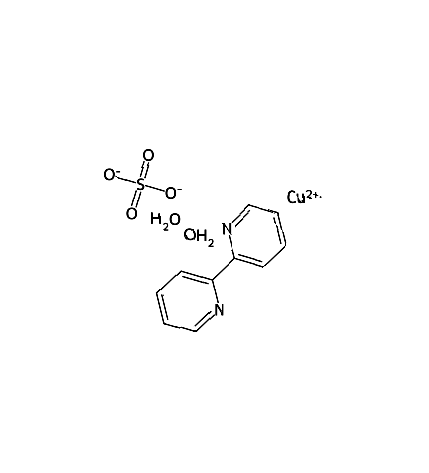 O.O.O=S(=O)([O-])[O-].[Cu+2].c1ccc(-c2ccccn2)nc1